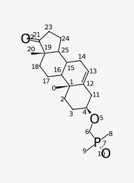 C[C@]12CC[C@H](OCP(C)(C)=O)CC1=CCC1C2CC[C@]2(C)C(=O)CCC12